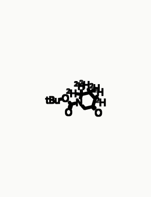 [2H]C1([2H])C(=O)CN(C(=O)OC(C)(C)C)C([2H])([2H])C1([2H])[2H]